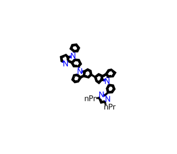 CCCc1cc(CCC)nc(-c2cccc(-n3c4ccccc4c4cc(-c5ccc6c(c5)c5ccccc5n6-c5ccc6c(c5)c5ncccc5n6-c5ccccc5)ccc43)c2)n1